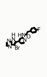 O=C(Cc1ccc(F)cc1)Nc1cc(-c2[nH]c3nccnc3c2Br)ccn1